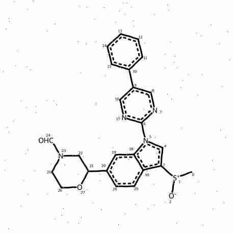 C[S+]([O-])c1cn(-c2ncc(-c3ccccc3)cn2)c2cc(C3CN(C=O)CCO3)ccc12